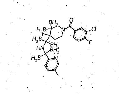 BC(B)(NC(B)(B)C1(F)CCN(C(=O)c2ccc(F)c(Cl)c2)CC1(B)B)c1ccc(C)cn1